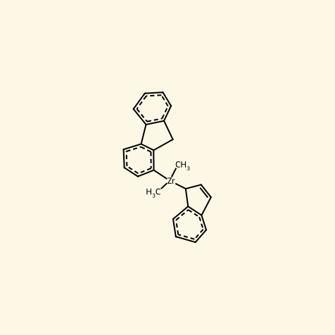 [CH3][Zr]([CH3])([c]1cccc2c1Cc1ccccc1-2)[CH]1C=Cc2ccccc21